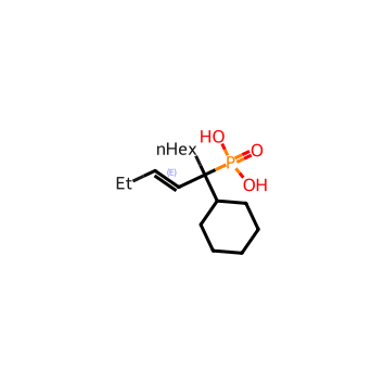 CC/C=C/C(CCCCCC)(C1CCCCC1)P(=O)(O)O